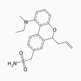 C=CCC1Oc2cccc(N(C)CC)c2-c2ccc(CS(N)(=O)=O)cc21